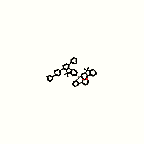 CC1(C)c2ccccc2-c2ccc(N(c3ccc4c(c3)C(C)(C)c3c(-c5ccc(-c6ccccc6)cc5)ccc(-c5ccccc5)c3-4)c3ccccc3-c3ccccc3)cc21